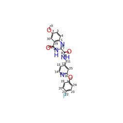 COc1ccc2nc(C(=O)NCc3ccnc(Oc4ccc(F)cc4)c3)[nH]c(=O)c2c1